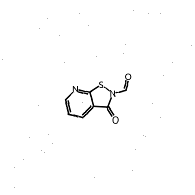 O=Cn1sc2ncccc2c1=O